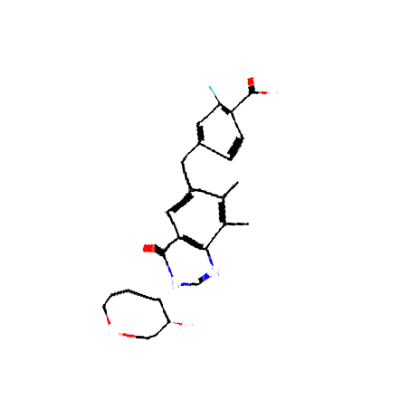 Cc1c(Cc2ccc(C(=O)O)c(F)c2)cc2c(=O)n([C@H]3CCOC[C@@H]3O)cnc2c1C